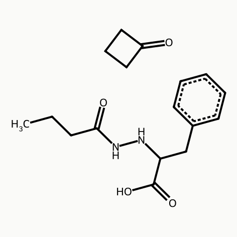 CCCC(=O)NNC(Cc1ccccc1)C(=O)O.O=C1CCC1